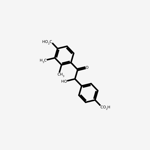 Cc1c(C(=O)O)ccc(C(=O)C(O)c2ccc(C(=O)O)cc2)c1C